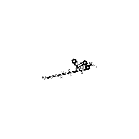 N=C(N)c1ccc(CNC(=O)[C@H](CCCCNC(=O)COCC(=O)NCCOCCOCCN)NC(=O)[C@@H](CC2CCCCC2)NS(=O)(=O)Cc2ccccc2)cc1